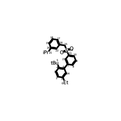 CCc1ccc(C(C)(C)C)c(-c2cccc(S(=O)(=O)Cc3cccc(C(C)C)c3)c2)c1